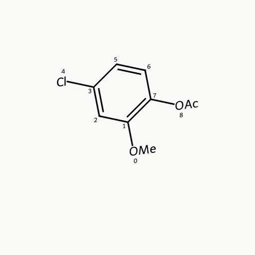 COc1cc(Cl)ccc1OC(C)=O